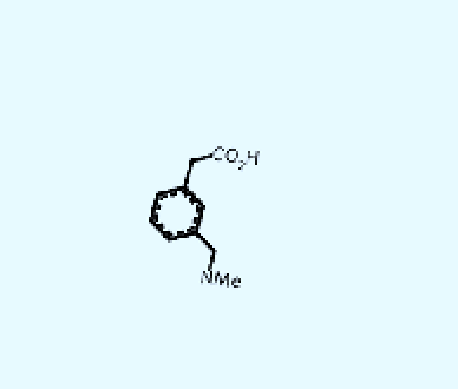 CNCc1cccc(CC(=O)O)c1